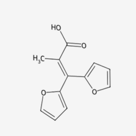 CC(C(=O)O)=C(c1ccco1)c1ccco1